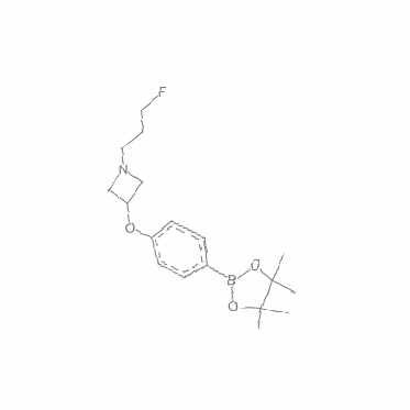 CC1(C)OB(c2ccc(OC3CN(CCCF)C3)cc2)OC1(C)C